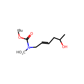 CC(O)CC=CCN(C(=O)O)C(=O)OC(C)(C)C